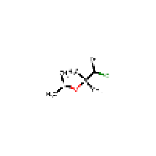 CCC(Cl)[Si](C)(C)O[Si](C)C